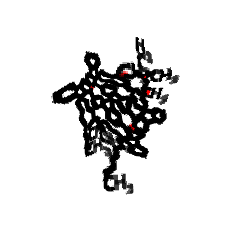 CCCCCCCCC1(CCCCCCCC)c2ccccc2-c2cccc(-c3ccc4c(c3)C3(c5cc(-c6cccc7c6C(CCCCCCCC)(CCCCCCCC)c6ccccc6-7)ccc5-4)c4cc(-c5cccc6c5C(CCCCCCCC)(CCCCCCCC)c5ccccc5-6)ccc4-c4ccc(-c5cccc6c5C(CCCCCCCC)(CCCCCCCC)c5ccccc5-6)cc43)c21